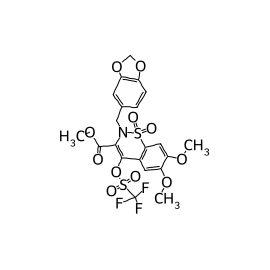 COC(=O)C1=C(OS(=O)(=O)C(F)(F)F)c2cc(OC)c(OC)cc2S(=O)(=O)N1Cc1ccc2c(c1)OCO2